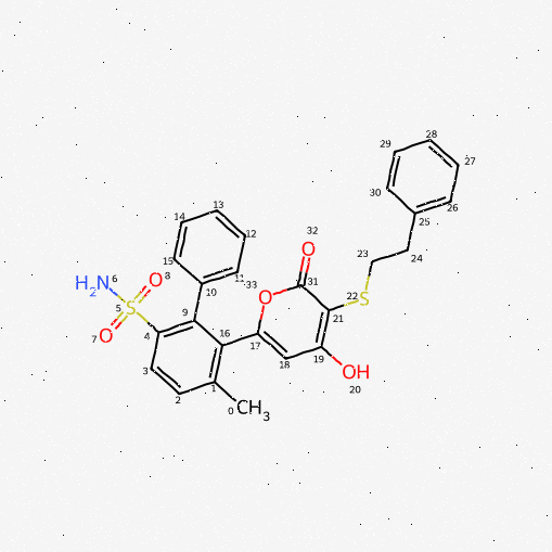 Cc1ccc(S(N)(=O)=O)c(-c2ccccc2)c1-c1cc(O)c(SCCc2ccccc2)c(=O)o1